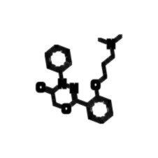 CN(C)CCCOc1ccccc1C1=NN(c2ccccc2)C(=O)CO1